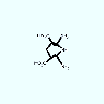 NC1=C(C(=O)O)CC(C(=O)O)=C(N)N1